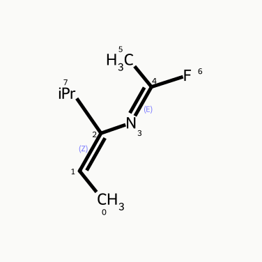 C/C=C(\N=C(/C)F)C(C)C